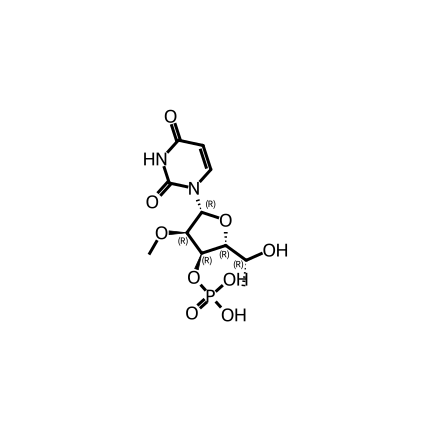 CO[C@@H]1[C@H](OP(=O)(O)O)[C@@H]([C@@H](C)O)O[C@H]1n1ccc(=O)[nH]c1=O